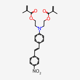 C=C(C)C(=O)OCCN(CCOC(=O)C(=C)C)c1ccc(C=Cc2ccc([N+](=O)[O-])cc2)cc1